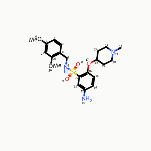 COc1ccc(CNS(=O)(=O)c2cc(N)ccc2OC2CCN(C)CC2)c(OC)c1